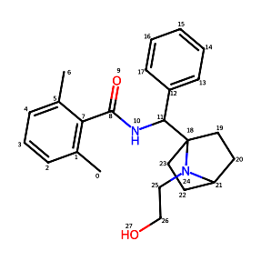 Cc1cccc(C)c1C(=O)NC(c1ccccc1)C12CCC(CC1)N2CCO